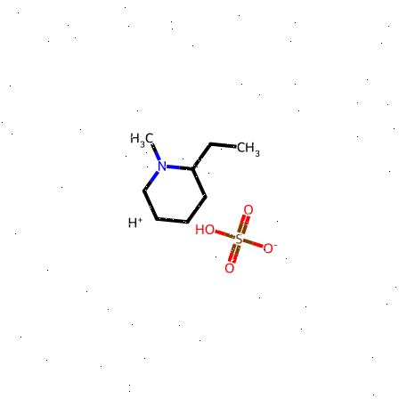 CCC1CCCCN1C.O=S(=O)([O-])O.[H+]